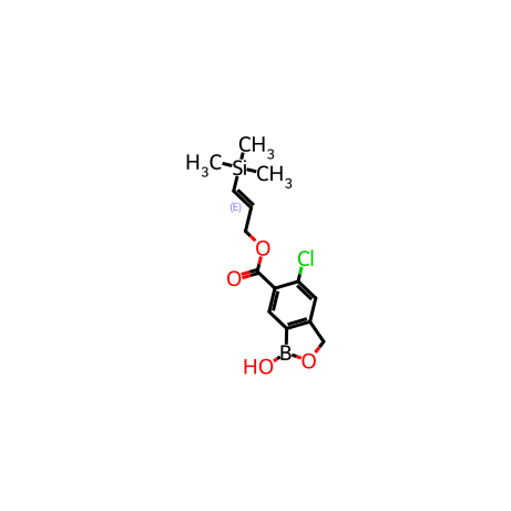 C[Si](C)(C)/C=C/COC(=O)c1cc2c(cc1Cl)COB2O